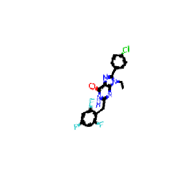 CCn1c(-c2ccc(Cl)cc2)nc2c(=O)[nH]c(Cc3c(F)cc(F)cc3F)nc21